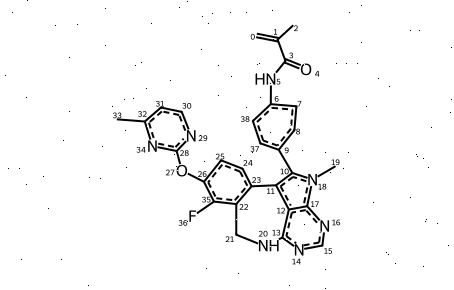 C=C(C)C(=O)Nc1ccc(-c2c3c4c(ncnc4n2C)NCc2c-3ccc(Oc3nccc(C)n3)c2F)cc1